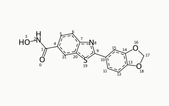 O=C(NO)c1ccc2nc(-c3ccc4c(c3)OCO4)sc2c1